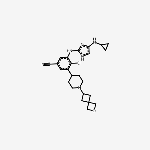 N#Cc1cc(Nc2nc(NC3CC3)c[nH]2)c(Cl)c(C2CCN(C3CC4(COC4)C3)CC2)c1